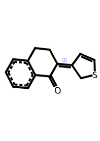 O=C1/C(=C2/C=CSC2)CCc2ccccc21